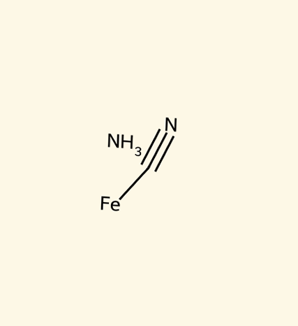 N.N#[C][Fe]